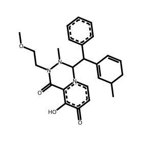 COCCN1C(=O)c2c(O)c(=O)ccn2C(C(C2=CC(C)CC=C2)c2ccccc2)N1C